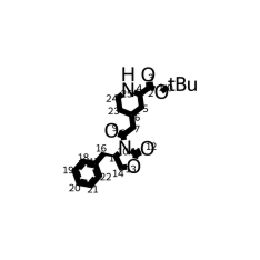 CC(C)(C)OC(=O)C1CC(CC(=O)N2C(=O)OC[C@H]2Cc2ccccc2)CCN1